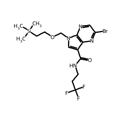 C[Si](C)(C)CCOCn1cc(C(=O)NCCC(F)(F)F)c2nc(Br)cnc21